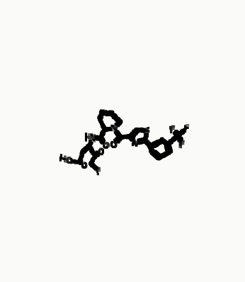 O=C(O)CC(NC(=O)C1CCCCN1C(=O)c1csc(-c2cccc(C(F)(F)F)c2)n1)C(=O)CF